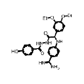 CCOc1ccc(C(Nc2ccc(C(=N)N)cc2)C(=O)NNC(=O)c2ccc(O)cc2)cc1OCC